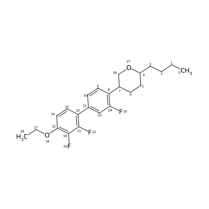 CCCCC1CCC(c2ccc(-c3ccc(OCC)c(F)c3F)cc2F)CO1